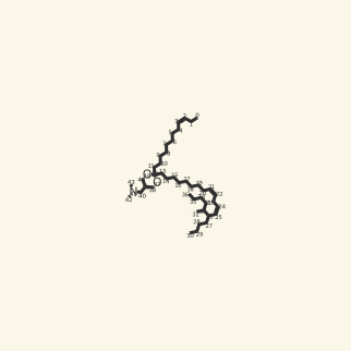 CC/C=C\CCCCCCCCC1(CCCCCCCC/C=C\C/C=C\C(CCCC)C(C)CCCC)OCC(CN(C)C)CO1